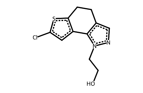 OCCn1ncc2c1-c1cc(Cl)sc1CC2